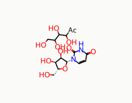 CC(=O)C(O)C(O)C(O)CO.O=c1ccn([C@@H]2O[C@H](CO)[C@@H](O)[C@H]2O)c(=O)[nH]1